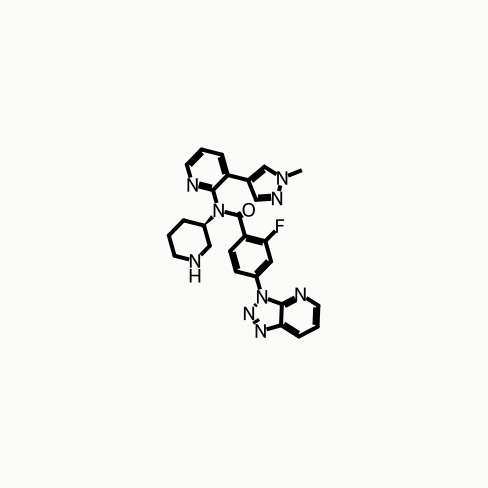 Cn1cc(-c2cccnc2N(C(=O)c2ccc(-n3nnc4cccnc43)cc2F)[C@@H]2CCCNC2)cn1